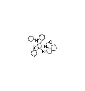 Brc1c(N2COc3cccc4cccc2c34)c2c3ccccc3n(-c3ccccc3)c2c2sc3ccccc3c12